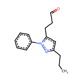 CCCc1cc(CCC=O)n(-c2ccccc2)n1